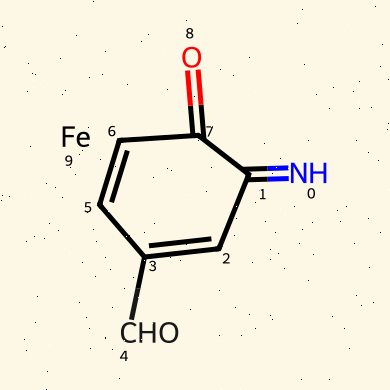 N=C1C=C(C=O)C=CC1=O.[Fe]